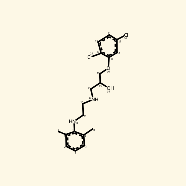 Cc1cccc(C)c1NCCNCC(O)COc1cc(Cl)ccc1Cl